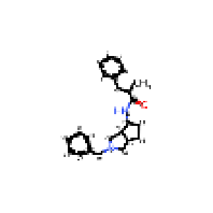 CC(Cc1ccccc1)C(=O)NC1CCC2CN(Cc3ccccc3)CC21